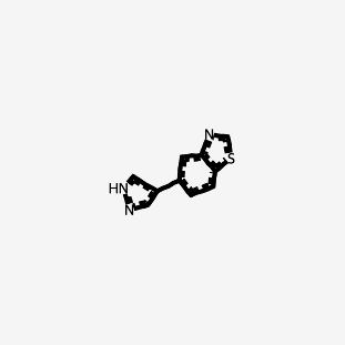 c1nc2cc(-c3cn[nH]c3)ccc2s1